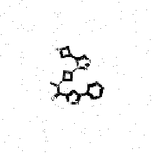 CN(C(=O)c1cc(-c2ccccc2)no1)[C@H]1C[C@H](n2nncc2C2CNC2)C1